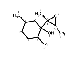 CCC[C@H]1O[C@@]1(C)C1(O)CC(C)CCC1C(C)C